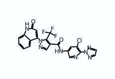 O=C(Nc1cnc(-n2nccn2)c(Cl)c1)c1cnn(-c2cc(=O)[nH]c3ccccc23)c1C(F)(F)F